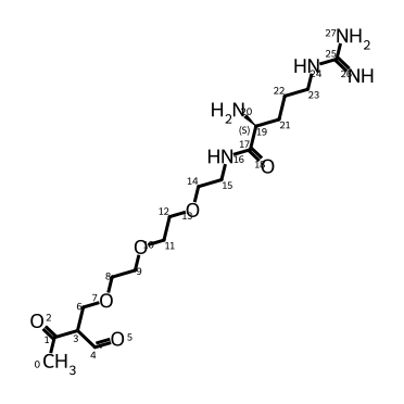 CC(=O)C([C]=O)COCCOCCOCCNC(=O)[C@@H](N)CCCNC(=N)N